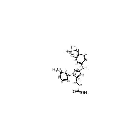 Cc1cc(-n2nc(Nc3ccc4c(c3)OC(F)(F)O4)cc2CCC(=O)O)ccn1